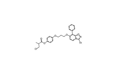 CCc1noc2c(-c3ccccc3)c(OCCCOc3ccc(OC(=O)C(C)CCl)cc3)ccc12